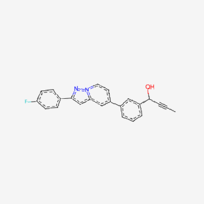 CC#CC(O)c1cccc(-c2ccn3nc(-c4ccc(F)cc4)cc3c2)c1